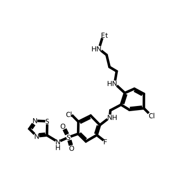 CCNCCCNc1ccc(Cl)cc1CNc1cc(Cl)c(S(=O)(=O)Nc2ncns2)cc1F